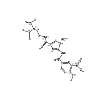 COc1ccc(C(=O)Nc2nc(C(=O)NCCN(C(C)C)C(C)C)cs2)cc1[N+](=O)[O-].Cl